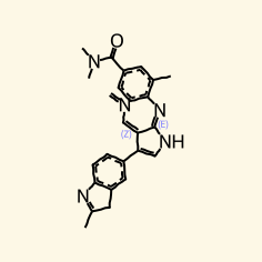 C=N/C=C1/C(c2ccc3c(c2)CC(C)=N3)=CN/C1=N/c1ccc(C(=O)N(C)C)cc1C